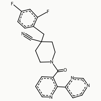 N#CC1(Cc2ccc(F)cc2F)CCN(C(=O)c2cccnc2-c2ccncn2)CC1